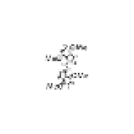 COc1ccc(OC)c2c1C=CC2CCC1C=Cc2c(OC)ccc(OC)c21